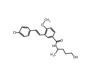 COc1ccc(C(=O)NC(C)CCCO)cc1C=Cc1ccc(Cl)cc1